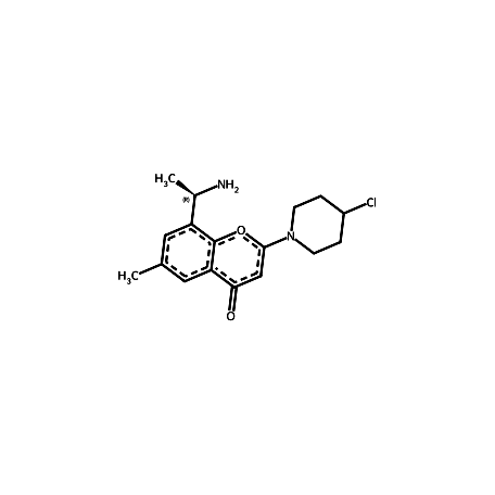 Cc1cc([C@@H](C)N)c2oc(N3CCC(Cl)CC3)cc(=O)c2c1